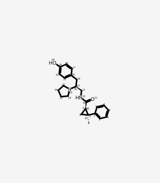 C[C@]1(c2ccccc2)C[C@H]1C(=O)NC[C@H](Cc1ccc(O)cc1)N1CCCC1